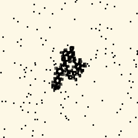 CCN(CC)CCN(Cc1ccc(-c2ccc(C(F)(F)F)cc2)cc1)C(=O)Cn1c(SCc2ccc(F)c(F)c2F)nc(=O)c2c1CCC2